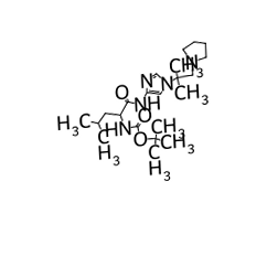 CC(C)CC(NC(=O)OC(C)(C)C)C(=O)Nc1cn(C(C)(C)CN2CCCC2)cn1